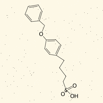 O=S(=O)(O)CCCCc1ccc(OCc2ccccc2)cc1